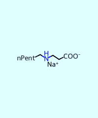 CCCCCCNCCC(=O)[O-].[Na+]